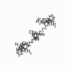 CC1(C)CC(CCCCNc2nc(Cl)nc(NCCCCC3CC(C)(C)N(OC4CC=CCC4)C(C)(C)C3)n2)CC(C)(C)N1OC1CC=CCC1